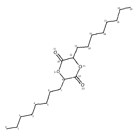 CCCCCCCCC1OC(=O)C(CCCCCCCC)OC1=O